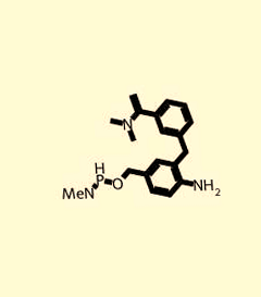 C=C(c1cccc(Cc2cc(COPNC)ccc2N)c1)N(C)C